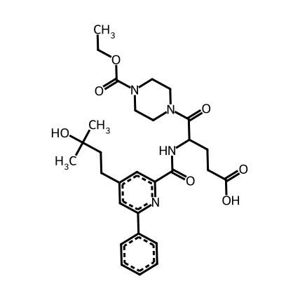 CCOC(=O)N1CCN(C(=O)C(CCC(=O)O)NC(=O)c2cc(CCC(C)(C)O)cc(-c3ccccc3)n2)CC1